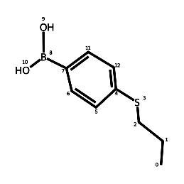 CCCSc1ccc(B(O)O)cc1